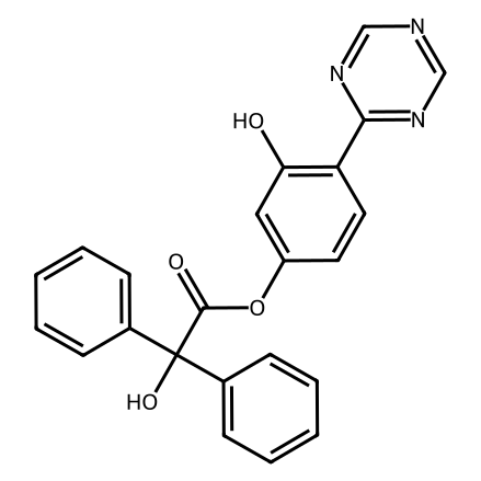 O=C(Oc1ccc(-c2ncncn2)c(O)c1)C(O)(c1ccccc1)c1ccccc1